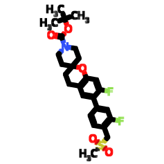 CC(C)(C)OC(=O)N1CCC2(CCc3cc(-c4ccc(CS(C)(=O)=O)c(F)c4)c(F)cc3O2)CC1